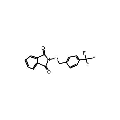 O=C1c2ccccc2C(=O)N1OCc1ccc(C(F)(F)F)cc1